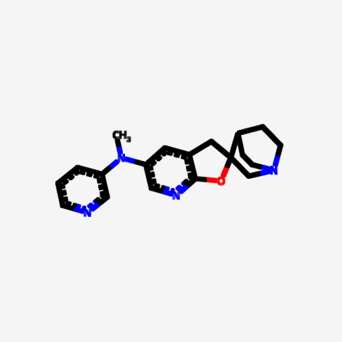 CN(c1cccnc1)c1cnc2c(c1)CC1(CN3CCC1CC3)O2